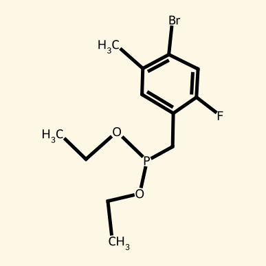 CCOP(Cc1cc(C)c(Br)cc1F)OCC